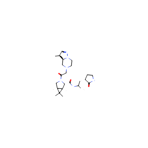 CCc1cnn2c1CN(CC(=O)N1C[C@H]3[C@@H]([C@H]1C(=O)NC(C#N)C[C@@H]1CCNC1=O)C3(C)C)CC2